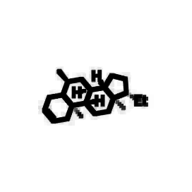 CC[C@H]1CC[C@H]2[C@@H]3C[C@H](C)C4CC=CC[C@]4(C)[C@H]3CC[C@]12C